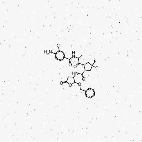 CC(NC(=O)c1ccc(N)c(Cl)c1)C(=O)N1CC(F)(F)C[C@H]1C(=O)NC1CC(=O)OC1OCc1ccccc1